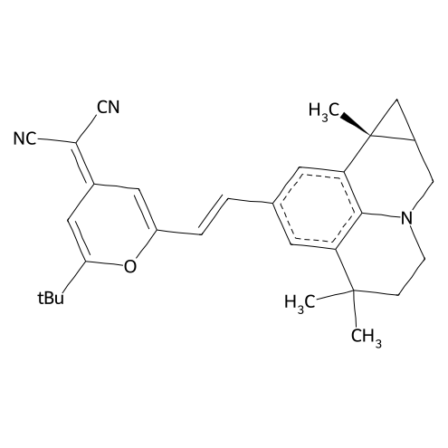 CC(C)(C)C1=CC(=C(C#N)C#N)C=C(/C=C/c2cc3c4c(c2)[C@]2(C)CC2CN4CCC3(C)C)O1